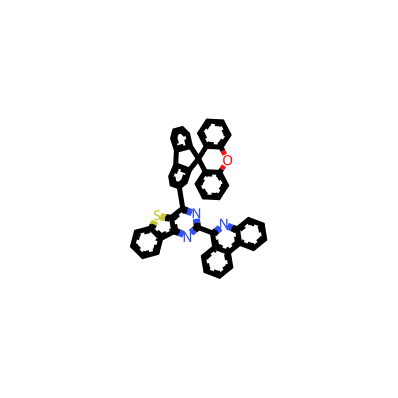 c1ccc2c(c1)Oc1ccccc1C21c2ccccc2-c2ccc(-c3nc(-c4nc5ccccc5c5ccccc45)nc4c3sc3ccccc34)cc21